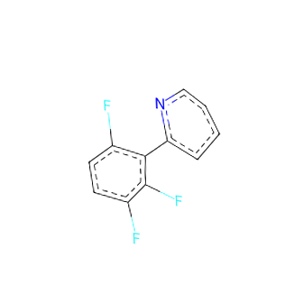 Fc1ccc(F)c(-c2ccccn2)c1F